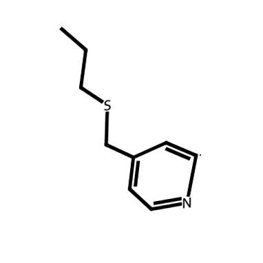 CCCSCc1c[c]ncc1